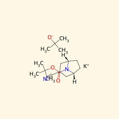 CC(C)(C)OC(=O)N1[C@@H]2CC[C@H]1CC(C#N)C2.CC(C)(C)[O-].[K+]